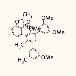 COc1cc(C)cc(-c2cc(-c3cc(OC)cc(OC)c3)c(OC)c(-c3cccc4c3[P@](=O)(C(C)(C)C)[C@@H](C)O4)c2C)c1